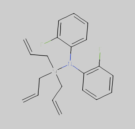 C=CC[Si](CC=C)(CC=C)N(c1[c]cccc1F)c1ccccc1F